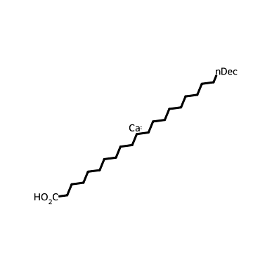 CCCCCCCCCCCCCCCCCCCCCCCCCCCCCC(=O)O.[Ca]